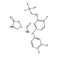 O=C1NC[C@@H](C(=O)N[C@@H](c2ccc(F)c(Cl)c2)c2ccc(F)c(OCC(F)(F)F)n2)O1